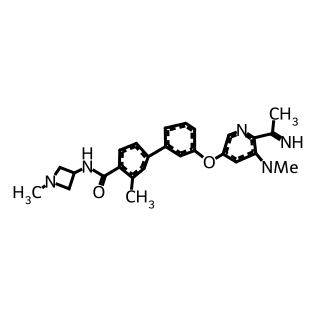 CNc1cc(Oc2cccc(-c3ccc(C(=O)NC4CN(C)C4)c(C)c3)c2)cnc1C(C)=N